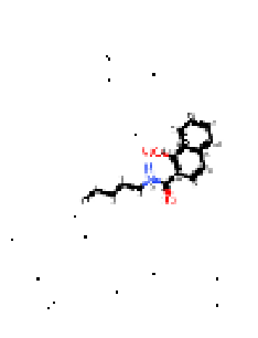 CCCCCNC(=O)c1ccc2ccccc2c1O